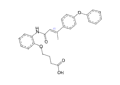 C/C(=C\C(=O)Nc1ccccc1OCCCC(=O)O)c1ccc(Oc2ccccc2)cc1